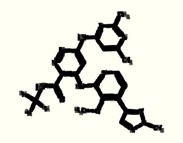 [2H]C([2H])([2H])NC(=O)c1nnc(Nc2cc(C)nc(C)n2)cc1Nc1nccc(-c2cnn(C)n2)c1OC